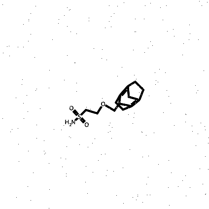 NS(=O)(=O)CCOCC1C2=C3CCC(=C1CC2)C3